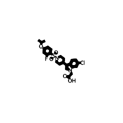 CC(C)Oc1ccc(S(=O)(=O)N2CC=C(c3cn(CC(=O)O)c4cc(Cl)ccc34)CC2)c(F)c1